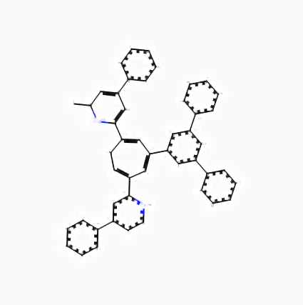 CC1C=C(c2ccccc2)C=C(C2=CC(c3cc(-c4ccccc4)cc(-c4ccccc4)c3)=CC(c3cc(-c4ccccc4)ccn3)=CC2)N1